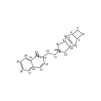 C1=CC2C3CCC3C1C1CN(CCc3ccc4ccccc4n3)CC21